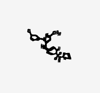 Cc1cc(Nc2ccc(S(=O)(=O)Nc3nccs3)c(F)c2)n(-c2cccc(Cl)c2)n1